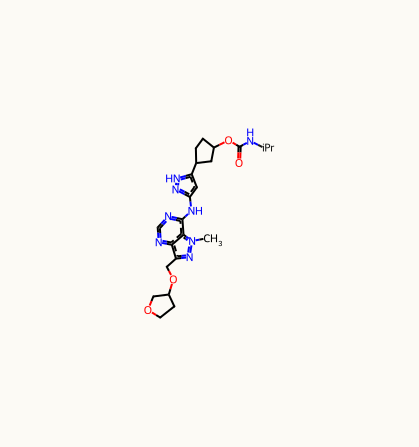 CC(C)NC(=O)OC1CCC(c2cc(Nc3ncnc4c(COC5CCOC5)nn(C)c34)n[nH]2)C1